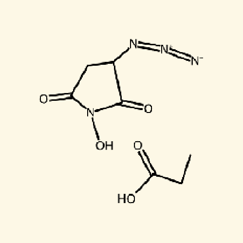 CCC(=O)O.[N-]=[N+]=NC1CC(=O)N(O)C1=O